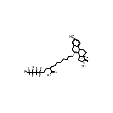 C=C1[C@H](O)CC2C3C(CC[C@]12C)c1ccc(O)cc1C[C@H]3CCCCCCCCC(CCC(F)(F)C(F)(F)C(F)(F)C(F)(F)F)C(=O)O